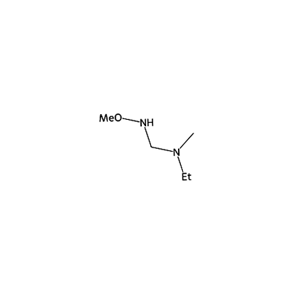 CCN(C)CNOC